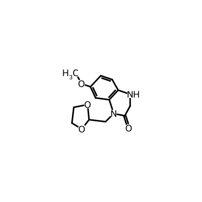 COc1ccc2c(c1)N(CC1OCCO1)C(=O)CN2